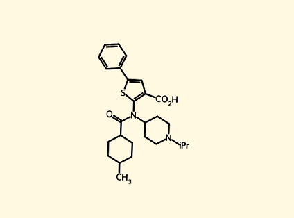 CC1CCC(C(=O)N(c2sc(-c3ccccc3)cc2C(=O)O)C2CCN(C(C)C)CC2)CC1